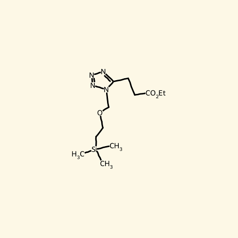 CCOC(=O)CCc1nnnn1COCC[Si](C)(C)C